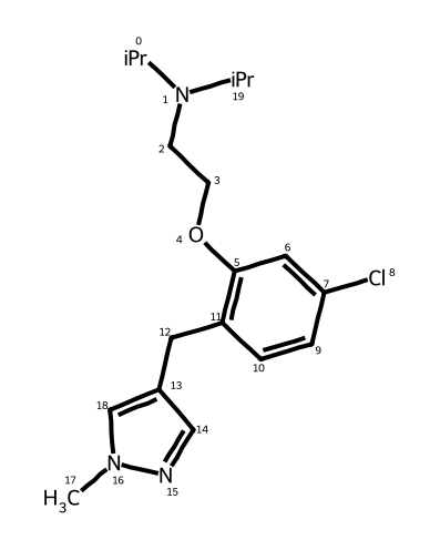 CC(C)N(CCOc1cc(Cl)ccc1Cc1cnn(C)c1)C(C)C